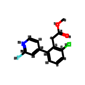 COC(=O)Cc1c(Cl)cccc1-c1ccnc(F)c1